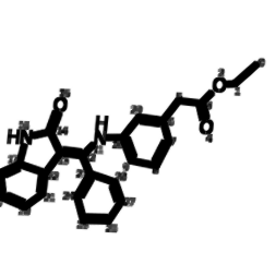 CCOC(=O)Cc1cccc(N/C(=C2\C(=O)Nc3ccccc32)c2ccccc2)c1